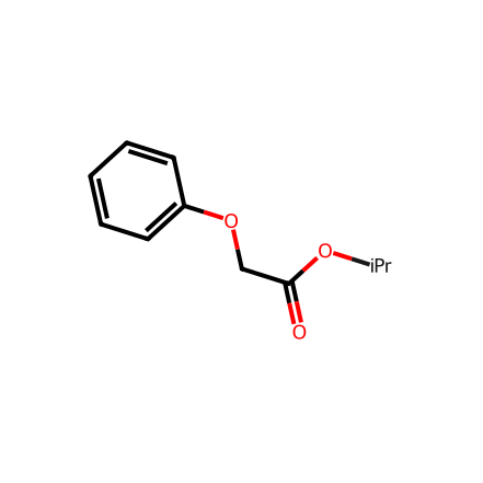 CC(C)OC(=O)COc1ccccc1